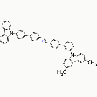 Cc1ccc2c(c1)c1cc(C)ccc1n2-c1cccc(-c2ccc(/C=C/c3ccc(-c4ccc(-n5c6ccccc6c6ccccc65)cc4)cc3)cc2)c1